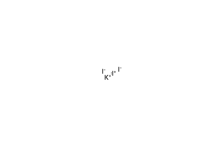 [I+].[I-].[I-].[K+]